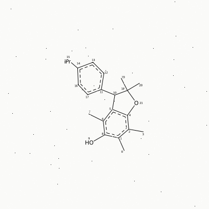 Cc1c(C)c2c(c(C)c1O)C(c1ccc(C(C)C)cc1)C(C)(C)O2